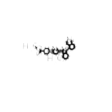 CCOC(=O)C1CCN(c2ccc(-n3nc(-c4cccc5cnccc45)c4cccc(C)c43)cn2)CC1